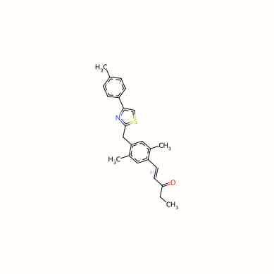 CCC(=O)/C=C/c1cc(C)c(Cc2nc(-c3ccc(C)cc3)cs2)cc1C